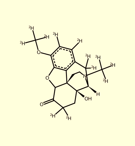 [2H]c1c([2H])c2c3c(c1OC([2H])([2H])[2H])OC1C(=O)C([2H])([2H])C[C@@]4(O)[C@H](N(C([2H])([2H])[2H])CC[C@]314)C2([2H])[2H]